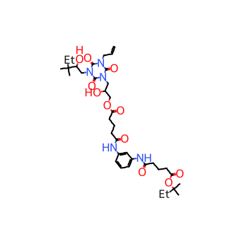 C=CCn1c(=O)n(CC(O)COC(=O)CCCC(=O)Nc2cccc(NC(=O)CCCC(=O)OC(C)(C)CC)c2)c(=O)n(CC(O)C(C)(C)CC)c1=O